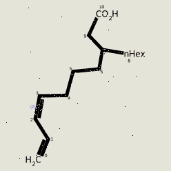 C=C/C=C\CCCC(CCCCCC)CC(=O)O